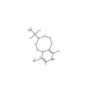 CC1=C2CCCC(C(C)(C)O)CCC2C(C(C)C)=NN1